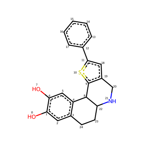 Oc1cc2c(cc1O)C1c3sc(-c4ccccc4)cc3CNC1CC2